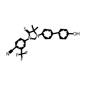 CC1(C)C(=S)N(c2ccc(C#N)c(C(F)(F)F)c2)CN1c1ccc(-c2ccc(O)cc2)cc1